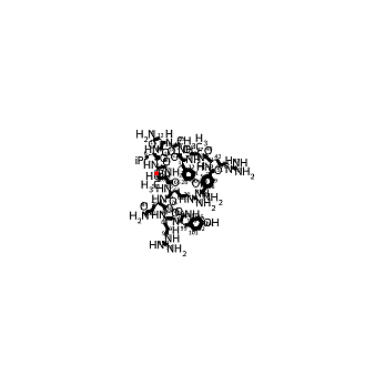 CC[C@H](C)[C@H](NC(=O)[C@H](CC(C)C)NC(=O)[C@H](CC(N)=O)NC(=O)[C@H](C)NC(=O)[C@H](Cc1ccc(O)cc1)NC(=O)[C@H](C)NC(=O)[C@H](CCCNC(=N)N)NC(=O)c1ccc(CN)cc1)C(=O)N[C@H](C(=O)N[C@@H](CCCNC(=N)N)C(=O)N[C@@H](CCC(N)=O)C(=O)N[C@@H](CCCNC(=N)N)C(=O)N[C@@H](Cc1ccc(O)cc1)C(N)=O)[C@@H](C)O